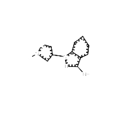 Cn1cc(-n2nc(N)c3ccccc32)cn1